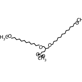 COCCCCCCCCCCCCOCC(CCS(C)(=O)=O)COCCCCCCCCCCCCOC